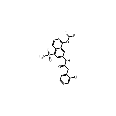 NS(=O)(=O)c1cc(NC(=O)Cc2ccccc2Cl)cc2c(OC(F)F)nccc12